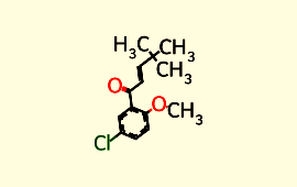 COc1ccc(Cl)cc1C(=O)C=CC(C)(C)C